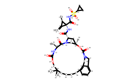 C=C1[C@@H](CC)[C@@]1(NC(=O)[C@@H]1C[C@@H]2CN1C(=O)[C@H](C(C)(C)C)NC(=O)OCC(C)(C)CCCCc1cccc3c1CN(C3)C(=O)O2)C(=O)NS(=O)(=O)C1CC1